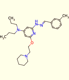 CCCN(CCC)c1cc(N/N=C/c2cccc(C)c2)nc(OCCN2CCCCC2)c1